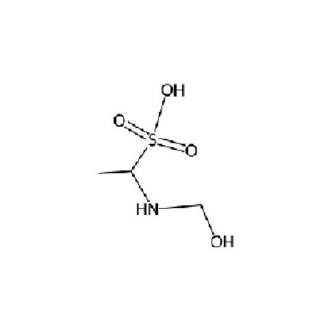 CC(NCO)S(=O)(=O)O